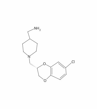 NCC1CCN(C[C@H]2COc3ccc(Cl)cc3O2)CC1